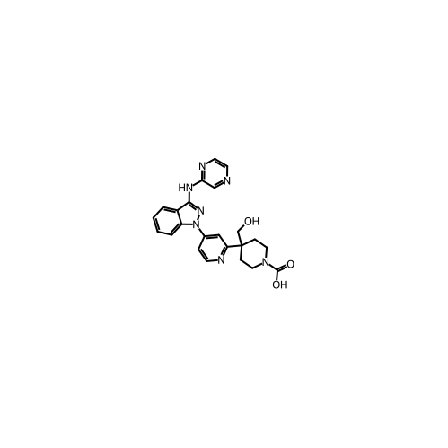 O=C(O)N1CCC(CO)(c2cc(-n3nc(Nc4cnccn4)c4ccccc43)ccn2)CC1